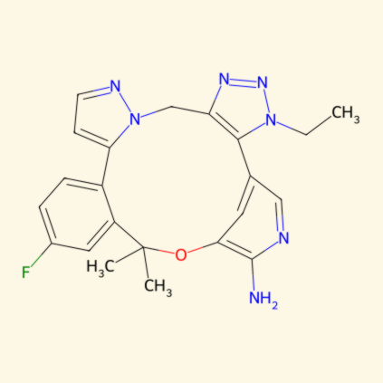 CCn1nnc2c1-c1cnc(N)c(c1)OC(C)(C)c1cc(F)ccc1-c1ccnn1C2